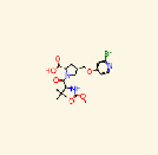 COC(=O)N[C@H](C(=O)N1C[C@H](COc2ccnc(Br)c2)C[C@H]1C(=O)O)C(C)(C)C